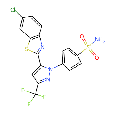 NS(=O)(=O)c1ccc(-n2nc(C(F)(F)F)cc2-c2nc3ccc(Cl)cc3s2)cc1